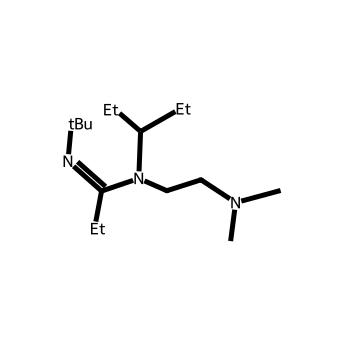 CC/C(=N/C(C)(C)C)N(CCN(C)C)C(CC)CC